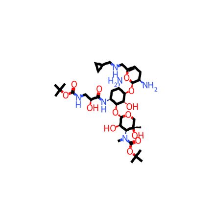 CN(C(=O)OC(C)(C)C)[C@@H]1[C@@H](O)[C@@H](O[C@@H]2[C@@H](O)[C@H](O[C@H]3OC(CNCC4CC4)=CC[C@H]3N)[C@@H](N)C[C@H]2NC(=O)[C@@H](O)CNC(=O)OC(C)(C)C)OC[C@]1(C)O